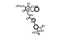 CCCCCC(C(=O)NCNC(=O)c1ccc(-c2ccc(P(=O)(O)O)c(OCC)c2)o1)C(CC)N(C=O)OCc1ccccc1